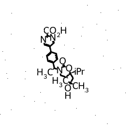 CC(C)[C@@]1(CC(C)(C)O)CCN([C@@H](C)c2ccc(-c3cnc(C(=O)O)nc3)cc2)C(=O)O1